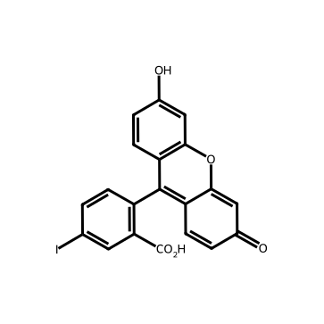 O=C(O)c1cc(I)ccc1-c1c2ccc(=O)cc-2oc2cc(O)ccc12